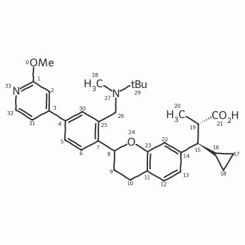 COc1cc(-c2ccc(C3CCc4ccc([C@H](C5CC5)[C@H](C)C(=O)O)cc4O3)c(CN(C)C(C)(C)C)c2)ccn1